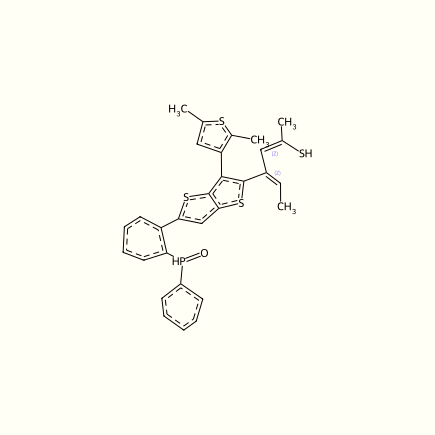 C/C=C(/C=C(/C)S)c1sc2cc(-c3ccccc3[PH](=O)c3ccccc3)sc2c1-c1cc(C)sc1C